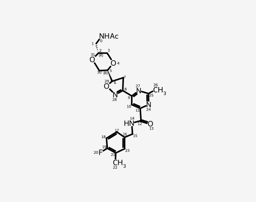 CC(=O)NC[C@@H]1CO[C@@H](C2CC(c3cc(C(=O)NCc4ccc(F)c(C)c4)nc(C)n3)=NO2)CO1